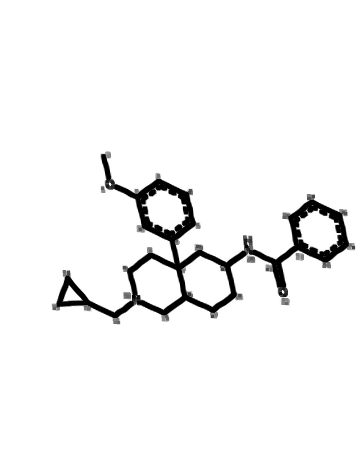 COc1cccc(C23CCN(CC4CC4)CC2CCC(NC(=O)c2ccccc2)C3)c1